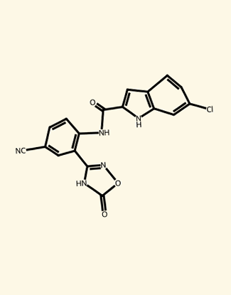 N#Cc1ccc(NC(=O)c2cc3ccc(Cl)cc3[nH]2)c(-c2noc(=O)[nH]2)c1